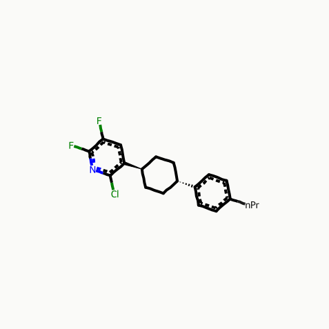 CCCc1ccc([C@H]2CC[C@H](c3cc(F)c(F)nc3Cl)CC2)cc1